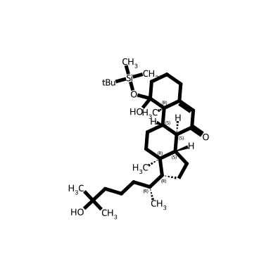 C[C@H](CCCC(C)(C)O)[C@H]1CC[C@H]2[C@@H]3C(=O)C=C4CCCC(O)(O[Si](C)(C)C(C)(C)C)[C@]4(C)[C@H]3CC[C@]12C